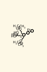 C=C(C)C(=O)OCCCc1cc(-c2ccc(-c3ccccc3)c(CC)c2)cc(CCCOC(=O)C(=C)C)c1OCCC(CO)(CO)CCCC